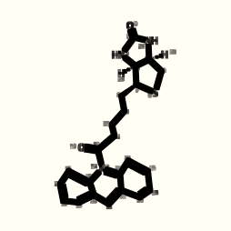 O=C1N[C@H]2[C@H](CS[C@H]2CCCCC(=O)[n+]2c3ccccc3cc3ccccc32)N1